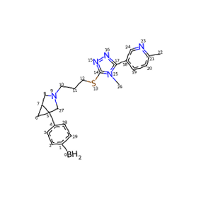 Bc1ccc(C23CC2CN(CCCSc2nnc(-c4ccc(C)nc4)n2C)C3)cc1